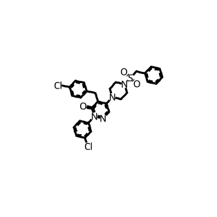 O=c1c(Cc2ccc(Cl)cc2)c(N2CCN(S(=O)(=O)Cc3ccccc3)CC2)cnn1-c1cccc(Cl)c1